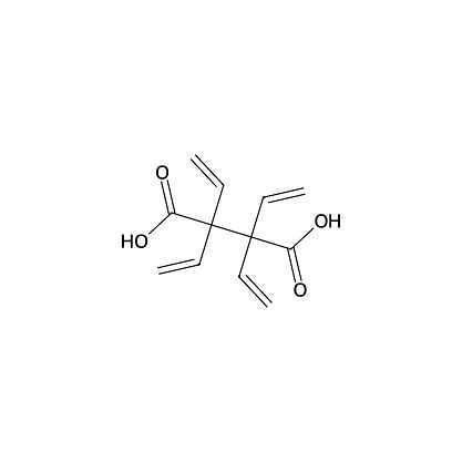 C=CC(C=C)(C(=O)O)C(C=C)(C=C)C(=O)O